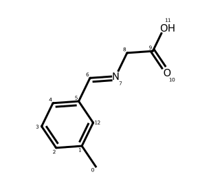 Cc1cccc(C=NCC(=O)O)c1